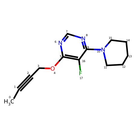 CC#CCOc1ncnc(N2CCCCC2)c1F